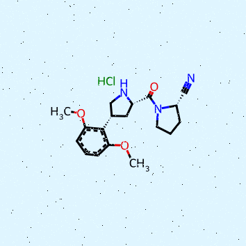 COc1cccc(OC)c1[C@@H]1CN[C@H](C(=O)N2CCC[C@H]2C#N)C1.Cl